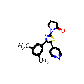 Cc1cc(C)cc(-c2nc(N3CCCC3=O)sc2-c2ccncc2)c1